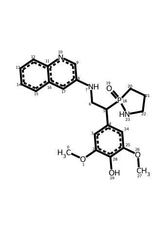 COc1cc(C(CNc2cnc3ccccc3c2)P2(=O)CCCN2)cc(OC)c1O